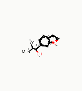 CNC(C(O)c1ccc2ccoc2c1)C(Cl)(Cl)Cl